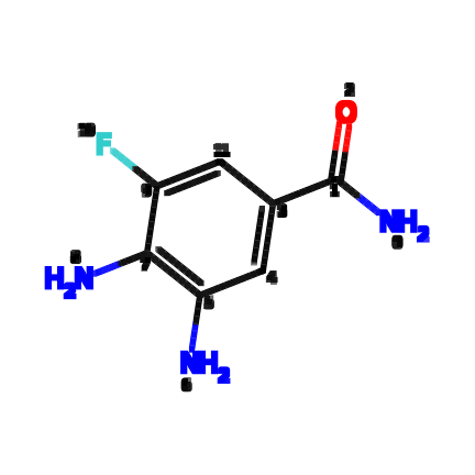 NC(=O)c1cc(N)c(N)c(F)c1